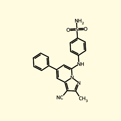 Cc1nn2c(Nc3ccc(S(N)(=O)=O)cc3)cc(-c3ccccc3)cc2c1C#N